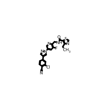 CCc1ncsc1C(=O)NCc1ncc(-n2cc(-c3ccc(C#N)c(Cl)c3)cn2)cc1F